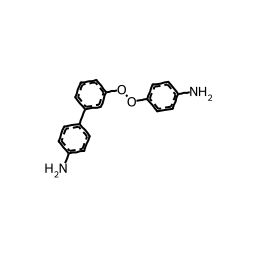 Nc1ccc(OOc2cccc(-c3ccc(N)cc3)c2)cc1